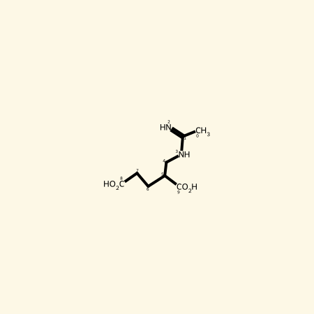 CC(=N)NCC(CCC(=O)O)C(=O)O